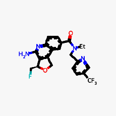 CCN(Cc1ccc(C(F)(F)F)cn1)C(=O)c1ccc2nc(N)c3c(c2c1)CO[C@H]3CF